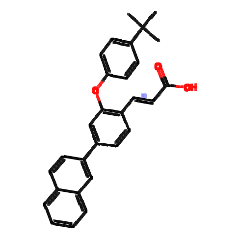 CC(C)(C)c1ccc(Oc2cc(-c3ccc4ccccc4c3)ccc2/C=C/C(=O)O)cc1